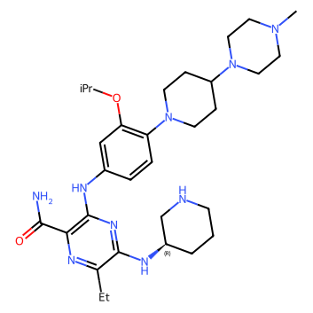 CCc1nc(C(N)=O)c(Nc2ccc(N3CCC(N4CCN(C)CC4)CC3)c(OC(C)C)c2)nc1N[C@@H]1CCCNC1